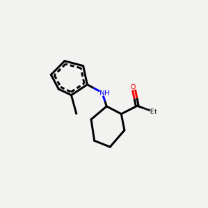 CCC(=O)C1CCCCC1Nc1ccccc1C